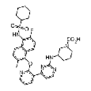 Cc1ccc2c(NS(=O)(=O)C3CCCCC3)c(F)ccc2c1Oc1ncccc1-c1ccnc(NC2CCCN(C(=O)O)C2)n1